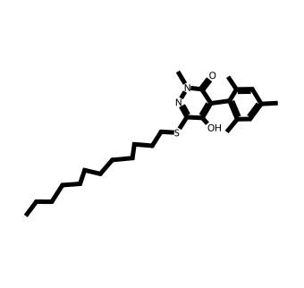 CCCCCCCCCCCCSc1nn(C)c(=O)c(-c2c(C)cc(C)cc2C)c1O